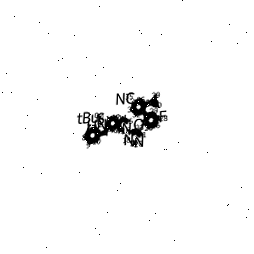 CC(C)(C)SNC1(Cc2ccccc2)CCC2(CCN(c3ncncc3Oc3ccc(F)cc3-c3ccc(C#N)cc3C3CC3)C2)C1